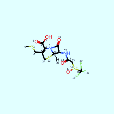 CSCC1=C(C(=O)O)N2C(=O)C(NC(=O)C[S+]([O-])C(F)(F)F)[C@H]2SC1